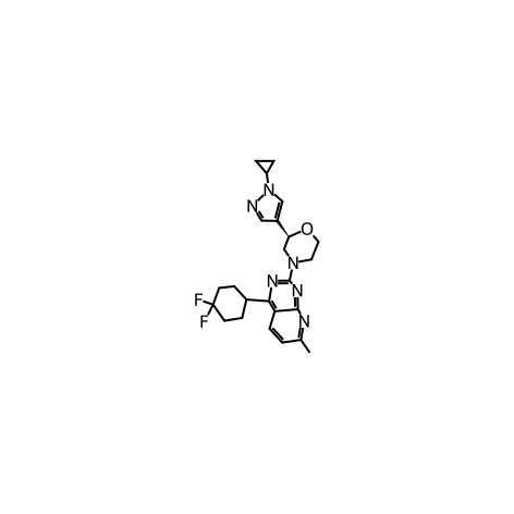 Cc1ccc2c(C3CCC(F)(F)CC3)nc(N3CCO[C@H](c4cnn(C5CC5)c4)C3)nc2n1